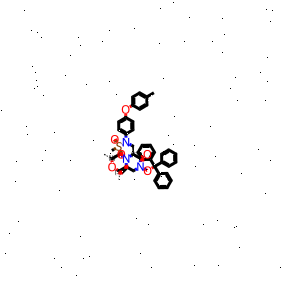 C=CCN(OC(c1ccccc1)(c1ccccc1)c1ccccc1)C(=O)[C@H](CN(c1ccc(Oc2ccc(C)cc2)cc1)S(C)(=O)=O)N1C[C@@H](C)O[C@@H](C)C1